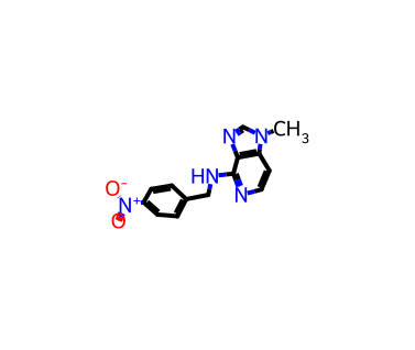 Cn1cnc2c(NCc3ccc([N+](=O)[O-])cc3)nccc21